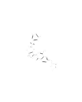 NC(=O)c1cc(CN2CCCC2)ccc1C(=O)Nc1n[nH]c2c1CN(S(=O)(=O)c1cc(F)cc(F)c1)CC2